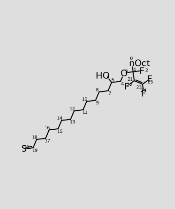 CCCCCCCCC(F)(OCC(O)CCCCCCCCCCCCC=S)C(F)=C(F)F